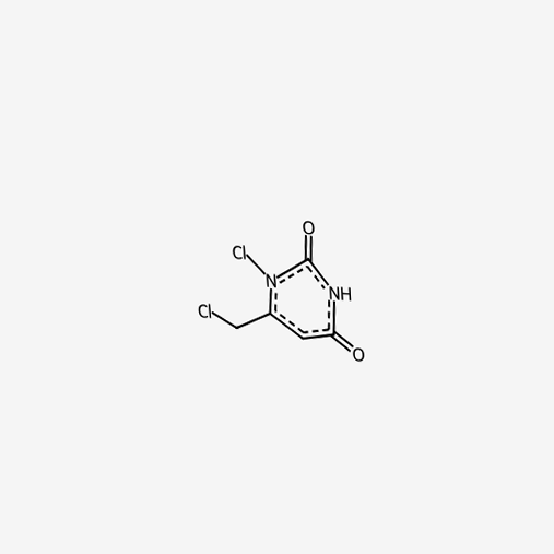 O=c1cc(CCl)n(Cl)c(=O)[nH]1